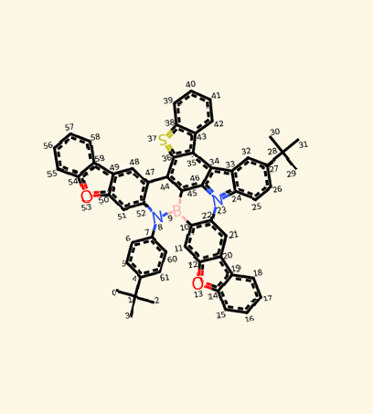 CC(C)(C)c1ccc(N2B3c4cc5oc6ccccc6c5cc4-n4c5ccc(C(C)(C)C)cc5c5c6c(sc7ccccc76)c(c3c54)-c3cc4c(cc32)oc2ccccc24)cc1